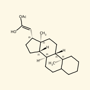 CC(=O)OC(O)=C[C@H]1CC[C@H]2[C@@H]3CCC4CCCC[C@]4(C)[C@H]3CC[C@]12C